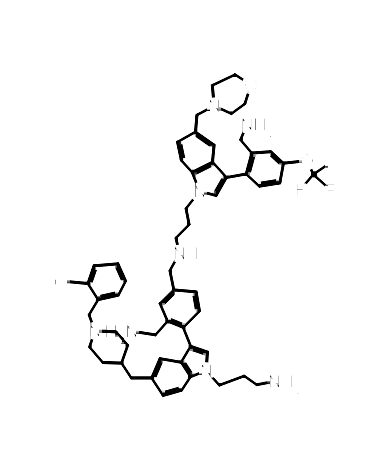 NCCCn1cc(-c2ccc(CNCCCn3cc(-c4ccc(OC(F)(F)F)cc4CN)c4cc(CN5CCOCC5)ccc43)cc2CN)c2cc(CC3CCN(Cc4ccccc4Cl)CC3)ccc21